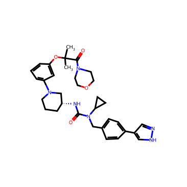 CC(C)(Oc1cccc(N2CCC[C@@H](NC(=O)N(Cc3ccc(-c4cn[nH]c4)cc3)C3CC3)C2)c1)C(=O)N1CCOCC1